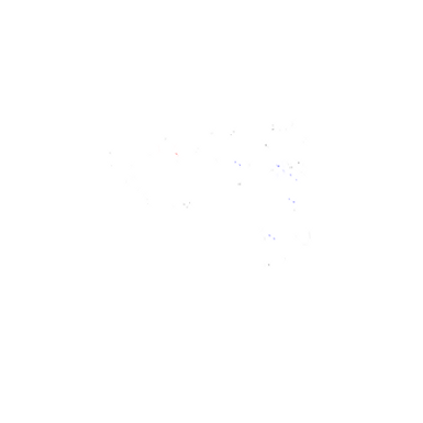 COc1ccc(C(F)(F)F)cc1[C@@]1(O)COCC2(C1)OC[C@H](c1ccc(F)cc1)N2Cc1nn[nH]c1CN(C)C